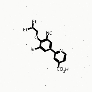 [C-]#[N+]c1cc(-c2cc(C(=O)O)ccn2)cc(Br)c1OCC(CC)CC